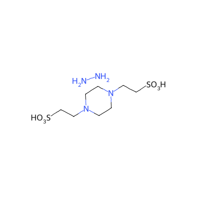 NN.O=S(=O)(O)CCN1CCN(CCS(=O)(=O)O)CC1